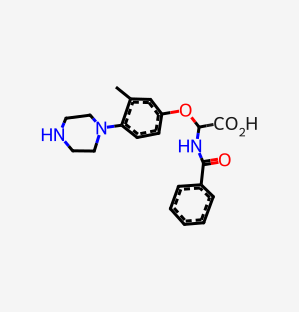 Cc1cc(OC(NC(=O)c2ccccc2)C(=O)O)ccc1N1CCNCC1